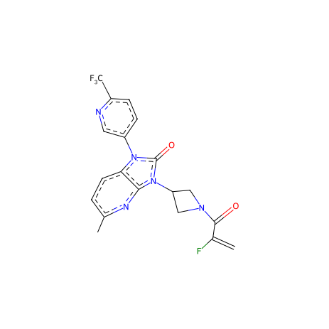 C=C(F)C(=O)N1CC(n2c(=O)n(-c3ccc(C(F)(F)F)nc3)c3ccc(C)nc32)C1